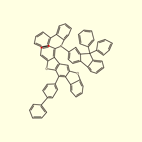 c1ccc(-c2ccc(-c3c4oc5cccc(N(c6ccc7c(c6)C(c6ccccc6)(c6ccccc6)c6ccccc6-7)c6ccccc6-c6ccccc6)c5c4cc4oc5ccccc5c34)cc2)cc1